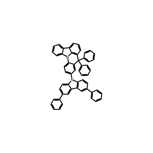 c1ccc(-c2ccc3c(c2)c2cc(-c4ccccc4)ccc2n3-c2ccc3c(c2)C(c2ccccc2)(c2ccccc2)c2cccc4c5ccccc5n-3c24)cc1